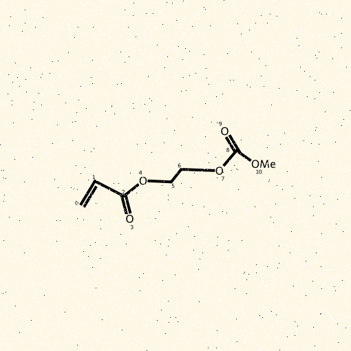 C=CC(=O)OCCOC(=O)OC